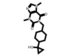 Cn1cnc2c1c(=O)n(CC1CCC(C3(O)CC3)CC1)c(=O)n2C